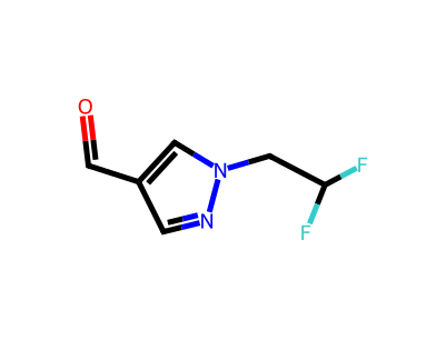 O=Cc1cnn(CC(F)F)c1